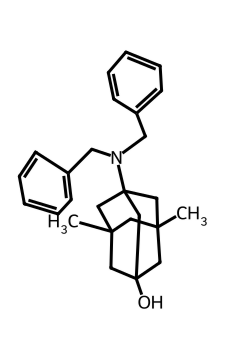 CC12CC3(C)CC(O)(C1)CC(N(Cc1ccccc1)Cc1ccccc1)(C2)C3